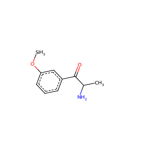 CC(N)C(=O)c1cccc(O[SiH3])c1